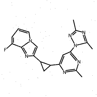 Cc1nc(C2CC2c2cn3cccc(F)c3n2)cc(-n2nc(C)nc2C)n1